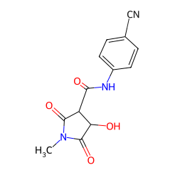 CN1C(=O)C(O)C(C(=O)Nc2ccc(C#N)cc2)C1=O